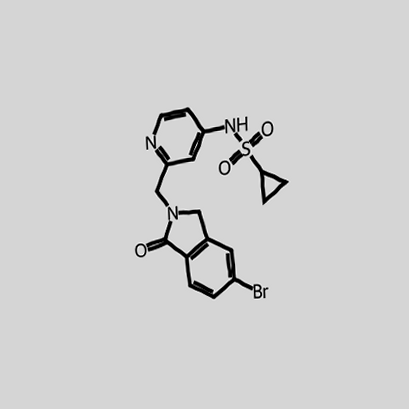 O=C1c2ccc(Br)cc2CN1Cc1cc(NS(=O)(=O)C2CC2)ccn1